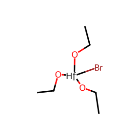 CC[O][Hf]([Br])([O]CC)[O]CC